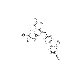 Cc1nc2c(OC(F)F)cc(CN3CCN(c4ccc(C#N)cc4Cl)CC3)cc2[nH]c1=O